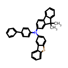 CC1(C)c2ccccc2-c2ccc(N(c3ccc(-c4ccccc4)cc3)c3ccc4sc5ccccc5c4c3)cc21